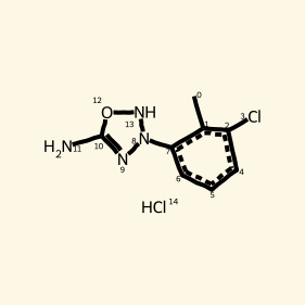 Cc1c(Cl)cccc1N1N=C(N)ON1.Cl